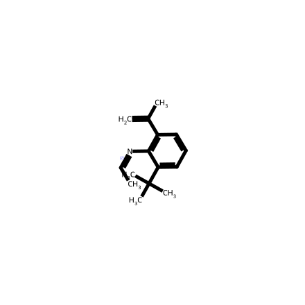 C=C(C)c1cccc(C(C)(C)C)c1/N=C\C